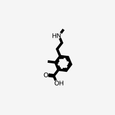 CNCCc1cccc(C(=O)O)c1C